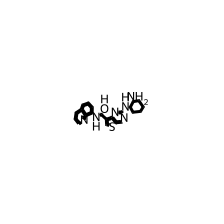 N[C@H]1CCCC[C@H]1Nc1ncc2scc(C(O)Nc3cccc4cccnc34)c2n1